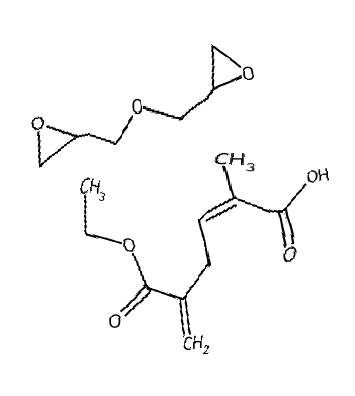 C(OCC1CO1)C1CO1.C=C(CC=C(C)C(=O)O)C(=O)OCC